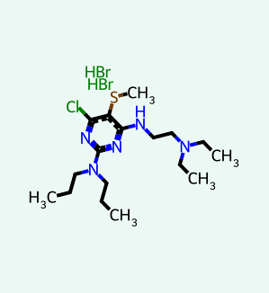 Br.Br.CCCN(CCC)c1nc(Cl)c(SC)c(NCCN(CC)CC)n1